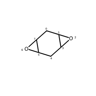 C1C2OC2CC2OC12